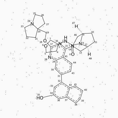 O=C(NC1CCOC1)N1[C@@H]2CC[C@H]1CN(c1nc(OCC34CCCN3CCC4)nc3cc(-c4cc(O)cc5ccccc45)ccc13)C2